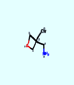 N#CC1(CN)COC1